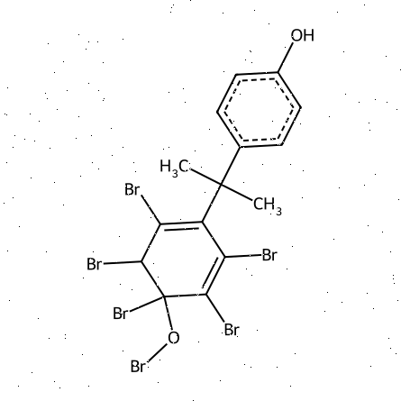 CC(C)(C1=C(Br)C(Br)C(Br)(OBr)C(Br)=C1Br)c1ccc(O)cc1